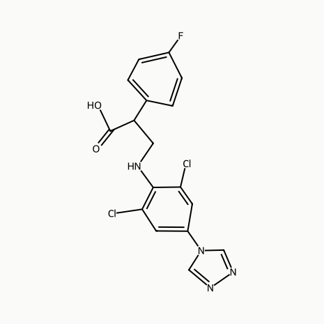 O=C(O)C(CNc1c(Cl)cc(-n2cnnc2)cc1Cl)c1ccc(F)cc1